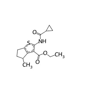 CCOC(=O)c1c(NC(=O)C2CC2)sc2c1C(C)CC2